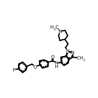 Cc1nn(CCC2CCN(C)CC2)c2cc(NC(=O)c3ccc(OCc4ccc(F)cc4)cc3)ccc12